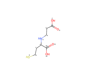 O=C(O)CCNC(CCS)C(=O)O